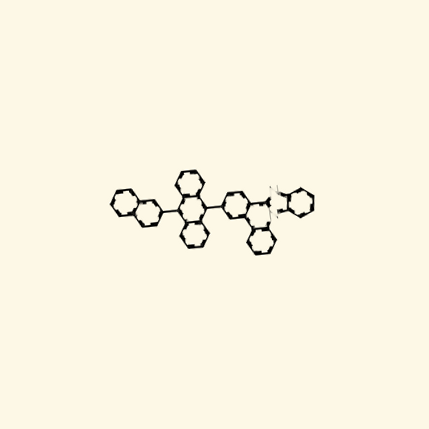 c1ccc2cc(-c3c4ccccc4c(-c4ccc5c(c4)c4ccccc4n4c6ccccc6nc54)c4ccccc34)ccc2c1